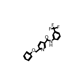 O=C(Nc1cccc(C(F)(F)F)c1)c1ccc(COc2ccccc2)nc1